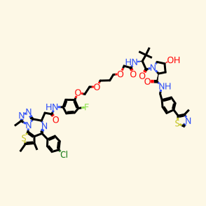 Cc1ncsc1-c1ccc(CNC(=O)[C@@H]2C[C@@H](O)CN2C(=O)[C@@H](NC(=O)COCCCOCCOc2cc(NC(=O)CC3N=C(c4ccc(Cl)cc4)c4c(sc(C)c4C)-n4c(C)nnc43)ccc2F)C(C)(C)C)cc1